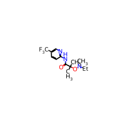 CCN(C)OC(C)(C)C(=O)Nc1ccc(C(F)(F)F)cn1